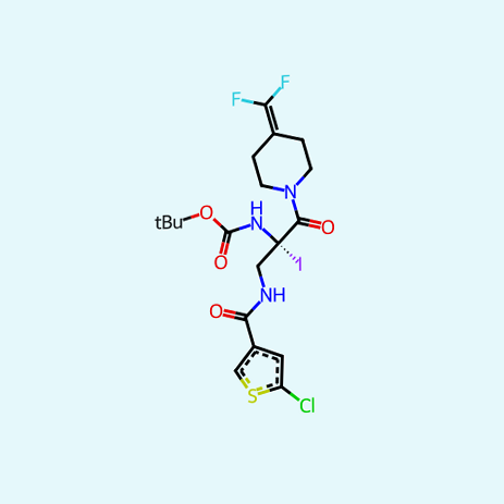 CC(C)(C)OC(=O)N[C@](I)(CNC(=O)c1csc(Cl)c1)C(=O)N1CCC(=C(F)F)CC1